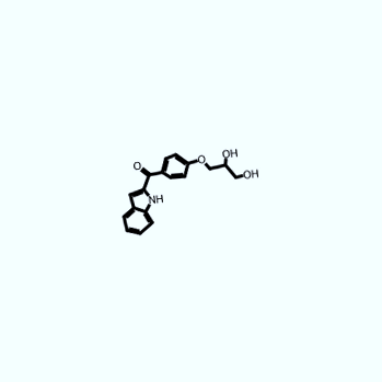 O=C(c1ccc(OCC(O)CO)cc1)c1cc2ccccc2[nH]1